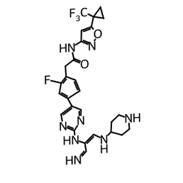 N=C/C(=C\NC1CCNCC1)Nc1ncc(-c2ccc(CC(=O)Nc3cc(C4(C(F)(F)F)CC4)on3)c(F)c2)cn1